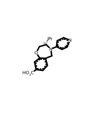 CC(C)[C@H]1COc2cc(C(=O)O)ccc2CN1c1ccncc1